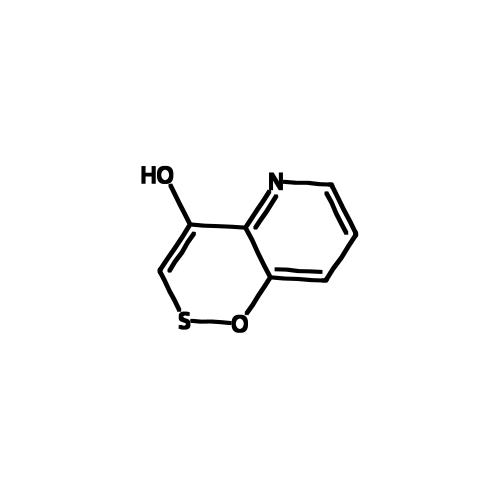 OC1=CSOc2cccnc21